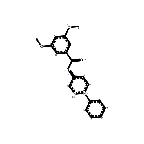 COc1cc(OC)cc(C(=O)/N=c2\ccn(-c3ccccc3)nc2)c1